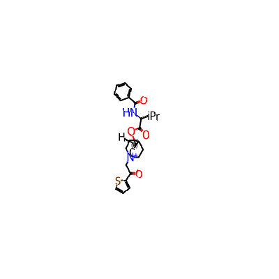 CC(C)C(NC(=O)c1ccccc1)C(=O)O[C@H]1C[N+]2(CC(=O)c3cccs3)CCC1CC2